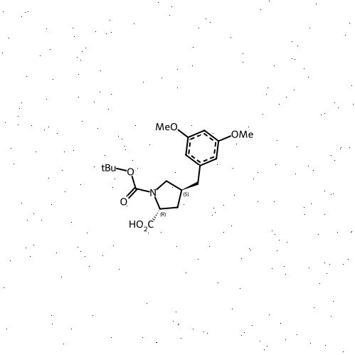 COc1cc(C[C@H]2C[C@H](C(=O)O)N(C(=O)OC(C)(C)C)C2)cc(OC)c1